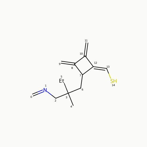 C=NCC(C)(CC)CC1C(=C)C(=C)/C1=C/S